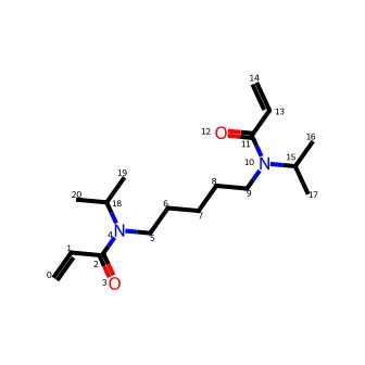 C=CC(=O)N(CCCCCN(C(=O)C=C)C(C)C)C(C)C